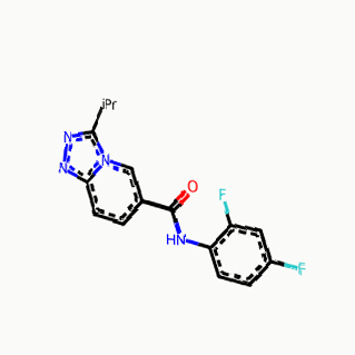 CC(C)c1nnc2ccc(C(=O)Nc3ccc(F)cc3F)cn12